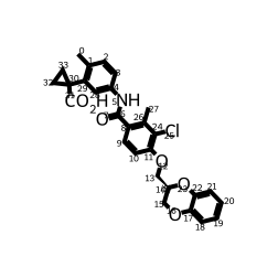 Cc1ccc(NC(=O)c2ccc(OC[C@@H]3COc4ccccc4O3)c(Cl)c2C)cc1C1(C(=O)O)CC1